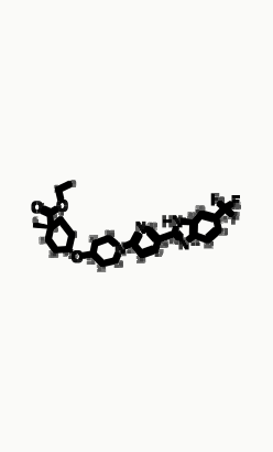 CCOC(=O)[C@]1(C)CC[C@H](OC2CCN(c3ccc(-c4nc5ccc(C(F)(F)F)cc5[nH]4)cn3)CC2)CC1